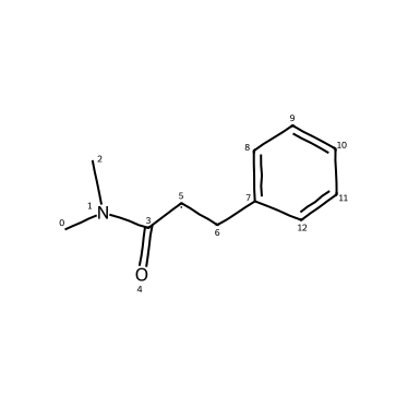 CN(C)C(=O)[CH]Cc1ccccc1